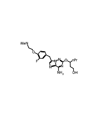 CCCC(CCO)Oc1nc(N)c2ncc(Cc3ccc(OCCNC)c(F)c3)n2n1